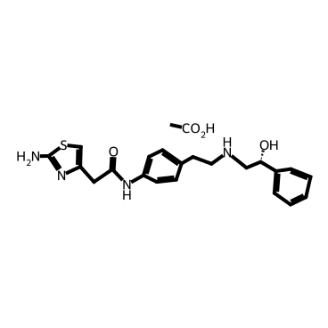 CC(=O)O.Nc1nc(CC(=O)Nc2ccc(CCNC[C@H](O)c3ccccc3)cc2)cs1